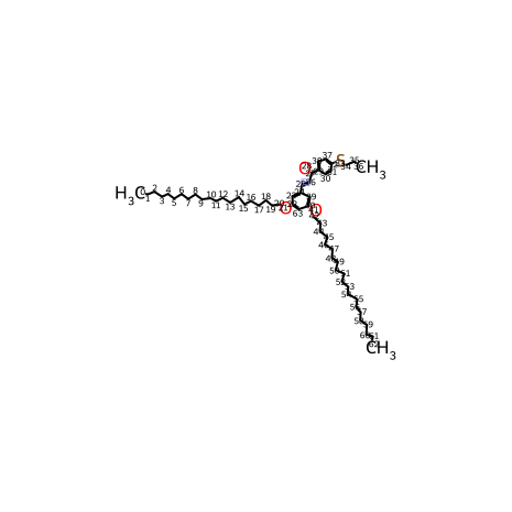 CCCCCCCCCCCCCCCCCCCCCOc1cc(/C=C/C(=O)c2ccc(SCCC)cc2)cc(OCCCCCCCCCCCCCCCCCCCCC)c1